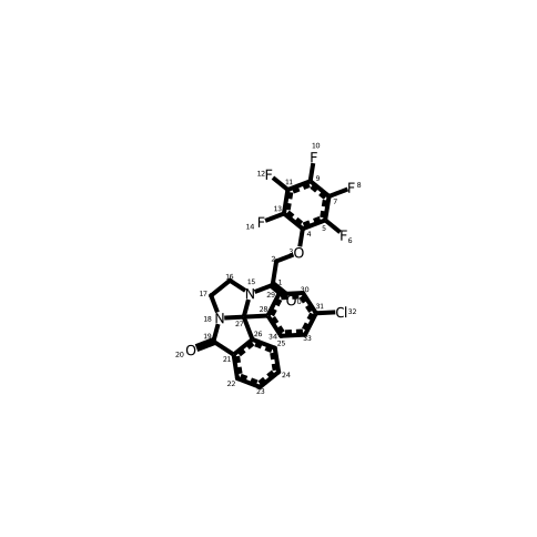 O=C(COc1c(F)c(F)c(F)c(F)c1F)N1CCN2C(=O)c3ccccc3C12c1ccc(Cl)cc1